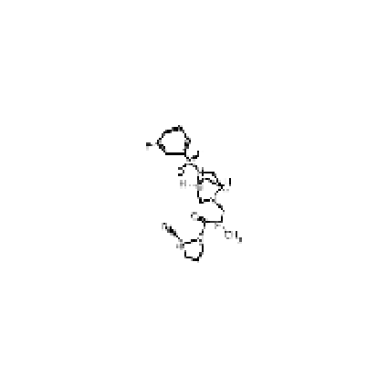 C[C@@H](CN1C[C@@H]2C[C@H]1CN2S(=O)(=O)c1cccc(F)c1)C(=O)N1CCC[C@H]1C#N